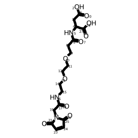 O=C(O)CC(NC(=O)CCOCCOCCNC(=O)CN1C(=O)C=CC1=O)C(=O)O